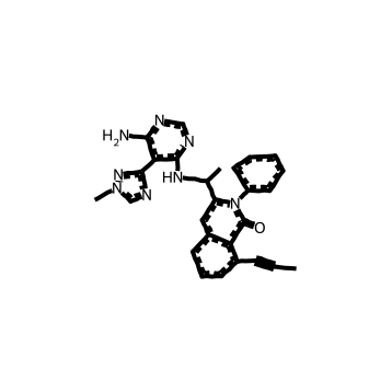 CC#Cc1cccc2cc(C(C)Nc3ncnc(N)c3-c3ncn(C)n3)n(-c3ccccc3)c(=O)c12